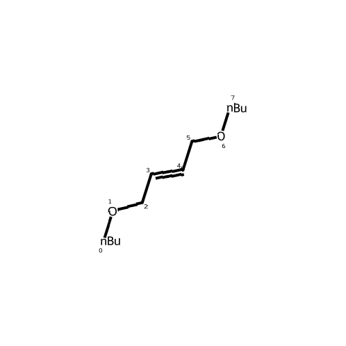 CCCCOCC=CCOCCCC